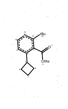 COC(=O)c1c(C2CCC2)ccnc1C(C)(C)C